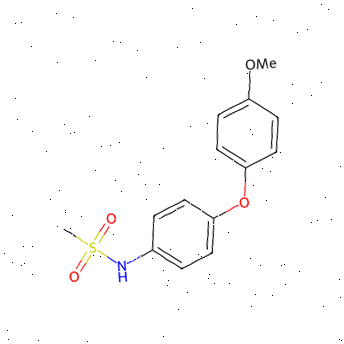 COc1ccc(Oc2ccc(NS(C)(=O)=O)cc2)cc1